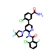 CN(C(=O)c1c(F)cccc1Cl)c1ncc(-c2cc(C(N)=O)ccc2Cl)cc1N1CCC(F)(F)C1